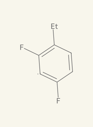 CCc1ccc(F)[c]c1F